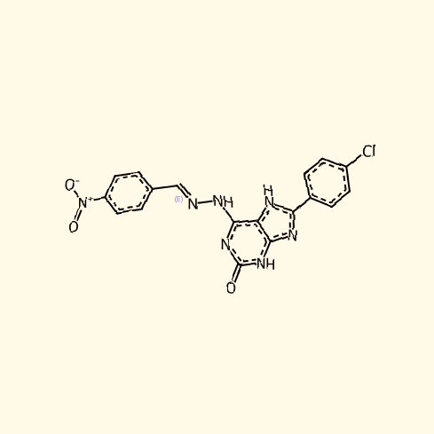 O=c1nc(N/N=C/c2ccc([N+](=O)[O-])cc2)c2[nH]c(-c3ccc(Cl)cc3)nc2[nH]1